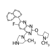 CC1CNCCN1c1nc(OCC2CCCN2C)nc2nc(-c3cccc4ccccc34)c(F)cc12